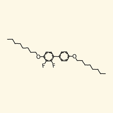 CCCCCCCCOc1ccc(-c2ccc(OCCCCCCCC)c(F)c2F)cc1